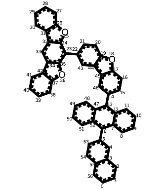 c1ccc2cc(-c3c4ccccc4c(-c4ccc5oc6ccc(-c7c8oc9ccccc9c8cc8c7oc7ccccc78)cc6c5c4)c4ccccc34)ccc2c1